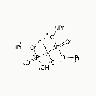 CC(C)OP(=O)(O)C(Cl)(Cl)P(=O)(OC(C)C)OC(C)C